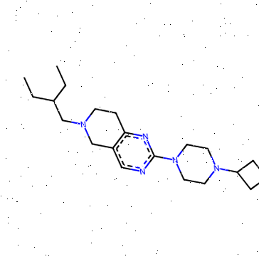 CCC(CC)CN1CCc2nc(N3CCN(C4CCC4)CC3)ncc2C1